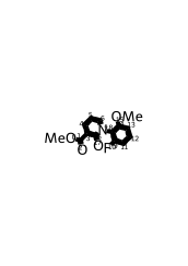 COC(=O)c1cccn(-c2c(F)cccc2OC)c1=O